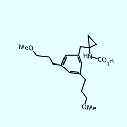 COCCCc1cc(CCCOC)cc(CC2(NC(=O)O)CC2)c1